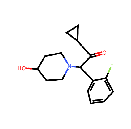 O=C(C1CC1)C(c1ccccc1F)N1CCC(O)CC1